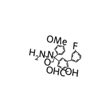 COc1ccc(C2(c3cccc(-c4cccc(F)c4)c3)COC(N)=N2)cc1.O=CO